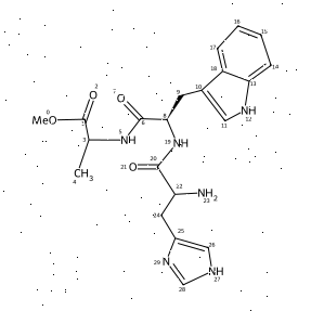 COC(=O)C(C)NC(=O)[C@@H](Cc1c[nH]c2ccccc12)NC(=O)C(N)Cc1c[nH]cn1